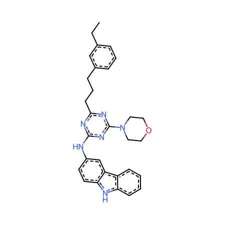 CCc1cccc(CCCc2nc(Nc3ccc4[nH]c5ccccc5c4c3)nc(N3CCOCC3)n2)c1